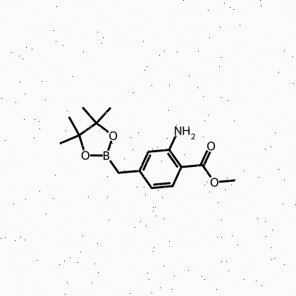 COC(=O)c1ccc(CB2OC(C)(C)C(C)(C)O2)cc1N